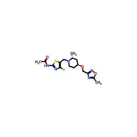 CC(=O)Nc1nc(F)c(CN2CC[C@H](OCc3noc(C)n3)C[C@H]2C)s1